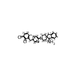 N[C@@H]1c2ccccc2CC12CCN(c1cnc(Cc3cccc(Cl)c3Cl)cn1)CC2